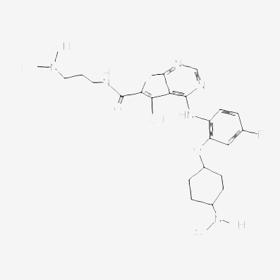 CC(=O)N(C)C1CCC(Oc2cc(F)ccc2Nc2ncnc3sc(C(=O)NCCCN(C)C)c(C)c23)CC1